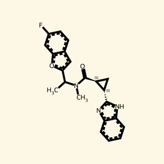 CC(c1cc2ccc(F)cc2o1)N(C)C(=O)[C@H]1C[C@@H]1c1nc2ccccc2[nH]1